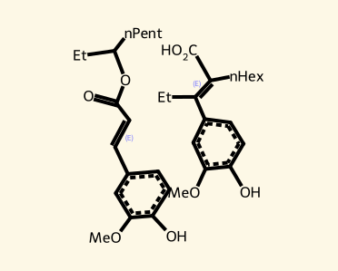 CCCCCC(CC)OC(=O)/C=C/c1ccc(O)c(OC)c1.CCCCCC/C(C(=O)O)=C(/CC)c1ccc(O)c(OC)c1